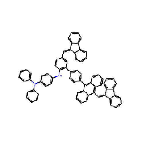 C(=C1c2ccccc2-c2ccccc21)c1ccc(Nc2ccc(N(c3ccccc3)c3ccccc3)cc2)c(-c2ccc(-c3c4ccccc4c(C=C4c5ccccc5-c5ccccc54)c4ccccc34)cc2)c1